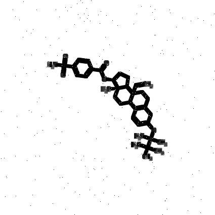 C=CC12CCC3=C(C=C=C(O[Si](C)(C)C(C)(C)C)C3)C1CC[C@@]1(C)C2CC[C@@H]1OC(=O)c1ccc(S(N)(=O)=O)cc1